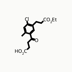 CCOC(=O)CCc1cc(C(=O)CCC(=O)O)c(C)cc1Cl